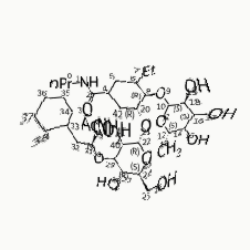 CCCNC(=O)C1CC(CC)[C@@H](OC2O[C@@H](C)C(O)[C@H](O)[C@@H]2O)[C@H](O[C@@H]2O[C@@H](CO)[C@H](O)C(O[C@@H](CC3CCCCC3)C(=O)O)C2NC(C)=O)C1